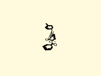 Cc1ccc(N2CC[C@@](C)(OC(=O)c3ccccc3)C2=O)cc1